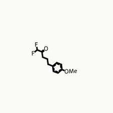 COc1ccc(CCCC(=O)C(F)F)cc1